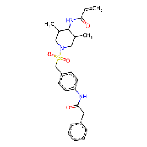 C=CC(=O)NC1C(C)CN(S(=O)(=O)Cc2ccc(NC(=O)Cc3ccccc3)cc2)CC1C